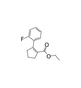 CCOC(=O)C1=C(c2ccccc2F)CCC1